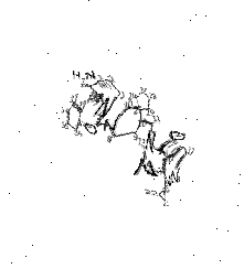 N[C@@H]1CCN(C(=O)N2CCC(Cn3cnc4c(cnn4C4CC4)c3=O)C3(CCCC3)C2)[C@H](c2ccccc2)C1